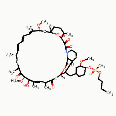 CCCCOP(C)(=O)O[C@@H]1CCC(CC2[C@H]3CCCN4C(=O)C(=O)C5(O)O[C@@H](CCC5C)C[C@H](OC)/C(C)=C/C=C/C=C/[C@@H](C)CC(C)C(=O)[C@H](OC)C(O)/C(C)=C/C(C)C(=O)C[C@@H]2OC(=O)C34)CC1OC